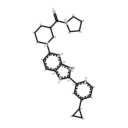 O=C(C1CCCN(c2ccc3nc(-c4cc(C5CC5)ccn4)[nH]c3n2)C1)N1CCCC1